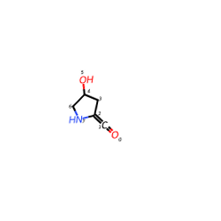 O=C=C1CC(O)CN1